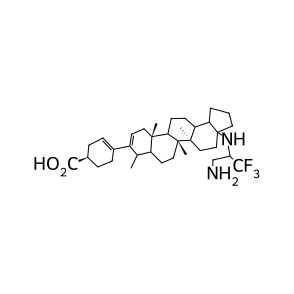 CC1C(C2=CC[C@H](C(=O)O)CC2)=CC[C@@]2(C)C1CC[C@]1(C)C2CCC2C3CCCC3(NC(CN)C(F)(F)F)CC[C@]21C